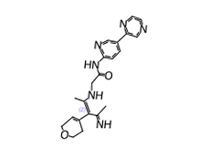 CC(=N)/C(C1=CCOCC1)=C(/C)NCC(=O)Nc1ccc(-c2cnccn2)cn1